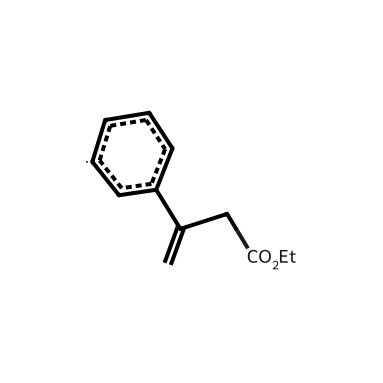 C=C(CC(=O)OCC)c1c[c]ccc1